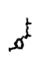 CC(C)=CCCC(C)=CCc1ccc(CI)cc1